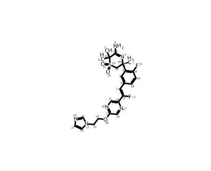 CC1(C)C(N)=N[C@](C)(c2cc(/C=C(\F)c3cnc(OCCn4ccnc4)cn3)ccc2F)CS1(=O)=O